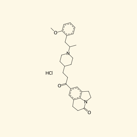 COc1ccccc1CC(C)N1CCC(CCC(=O)c2cc3c4c(c2)CCN4C(=O)CC3)CC1.Cl